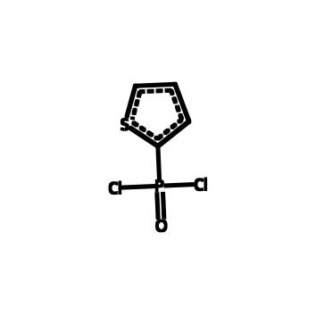 O=P(Cl)(Cl)c1cccs1